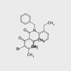 CCc1cccc(CC)c1N(Cc1ccccc1)C(=O)c1c(C)[nH]c(C)c(Br)c1=O